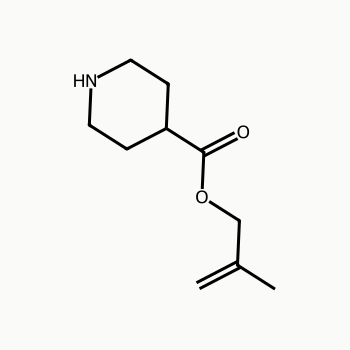 C=C(C)COC(=O)C1CCNCC1